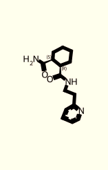 NC(=O)[C@H]1CCCC[C@H]1C(=O)NCCc1ccccn1